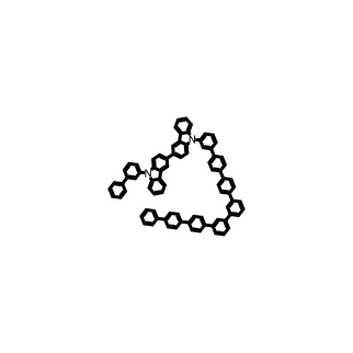 c1ccc(-c2ccc(-c3ccc(-c4cccc(-c5cccc(-c6ccc(-c7ccc(-c8cccc(-n9c%10ccccc%10c%10cc(-c%11ccc%12c(c%11)c%11ccccc%11n%12-c%11cccc(-c%12ccccc%12)c%11)ccc%109)c8)cc7)cc6)c5)c4)cc3)cc2)cc1